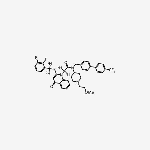 [2H]C([2H])(Sc1cc(=O)c2ccccc2n1C([2H])([2H])C(=O)N(Cc1ccc(-c2ccc(C(F)(F)F)cc2)cc1)C1CCN(CCOC)CC1)c1cccc(F)c1F